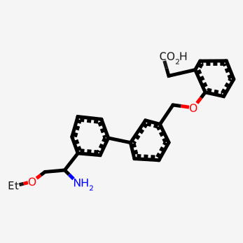 CCOCC(N)c1cccc(-c2cccc(COc3ccccc3CC(=O)O)c2)c1